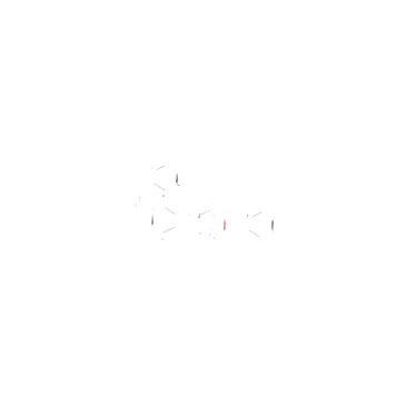 O=C(Cc1ccccc1)N[C@@H](Cc1ccc(O)cc1)C(=O)OCc1ccccc1